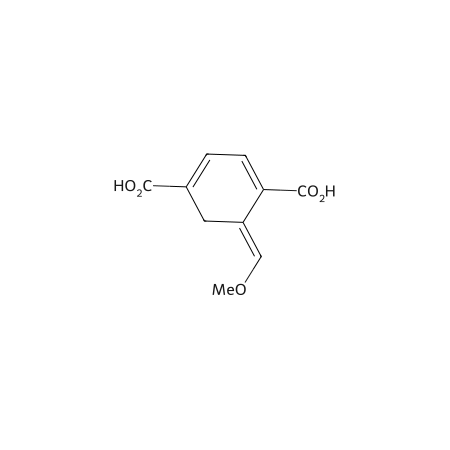 COC=C1CC(C(=O)O)=CC=C1C(=O)O